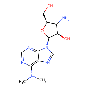 CN(C)c1ncnc2c1ncn2[C@H]1O[C@@H](CO)C(N)[C@H]1O